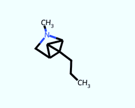 CCCC12C3CN(C)C1C32